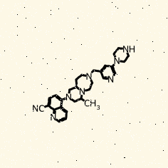 CC1CN(c2ccc(C#N)c3ncccc23)CC2CCN(Cc3cncc(N4CCNCC4)c3)CCN12